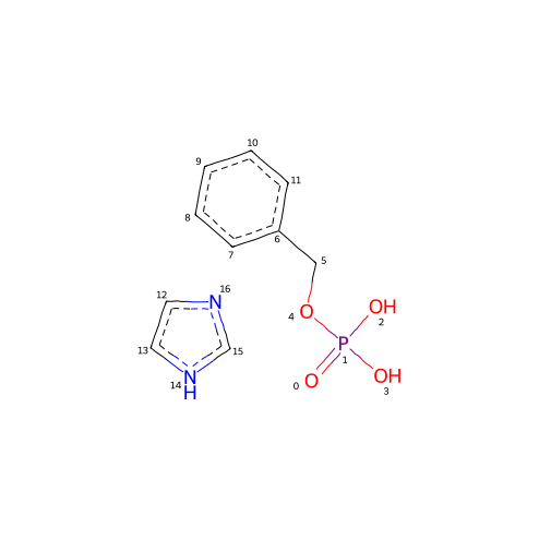 O=P(O)(O)OCc1ccccc1.c1c[nH]cn1